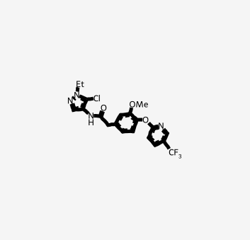 CCn1ncc(NC(=O)Cc2ccc(Oc3ccc(C(F)(F)F)cn3)c(OC)c2)c1Cl